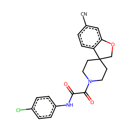 N#Cc1ccc2c(c1)OCC21CCN(C(=O)C(=O)Nc2ccc(Cl)cc2)CC1